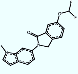 Cn1ccc2ccc(N3Cc4ccc(OC(F)F)cc4C3=O)cc21